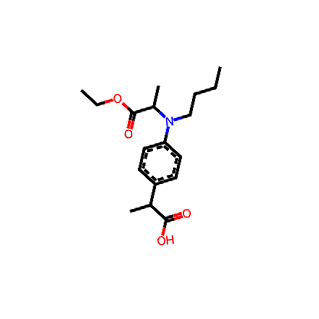 CCCCN(c1ccc(C(C)C(=O)O)cc1)C(C)C(=O)OCC